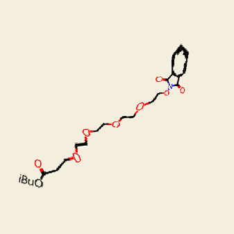 CC(C)COC(=O)CCOCCOCCOCCOCCON1C(=O)c2ccccc2C1=O